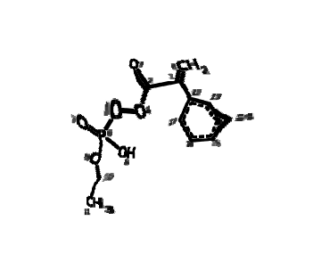 C=C(C(=O)OOP(=O)(O)OCC)c1ccccc1